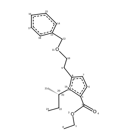 CCOC(=O)c1ccc(CCOCc2ccccc2)n1[C@@H](C)CC